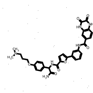 CN(C)CCCOc1ccc(C(NC(=O)c2ccc(-c3cccc(NC(=O)c4ccc5[nH]c(=O)c(=O)[nH]c5c4)c3)o2)C(N)=O)cc1